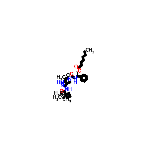 CCCCCCCC(=O)OC[C@@H](NC(=O)N1Cc2c(NC(=O)C3([Si](C)(C)C)CCC3)n[nH]c2C1(C)C)c1ccccc1